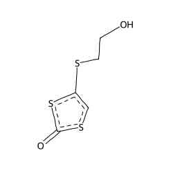 O=c1scc(SCCO)s1